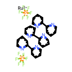 F[P-](F)(F)(F)(F)F.F[P-](F)(F)(F)(F)F.[Ru+2].c1ccc(-c2ccccn2)nc1.c1ccc(-c2ccccn2)nc1.c1ccc(-c2ccccn2)nc1